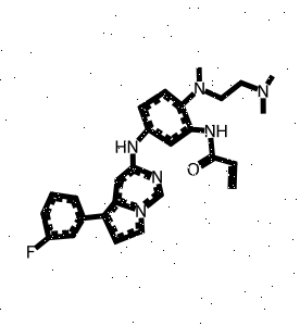 C=CC(=O)Nc1cc(Nc2cc3c(-c4cccc(F)c4)ccn3cn2)ccc1N(C)CCN(C)C